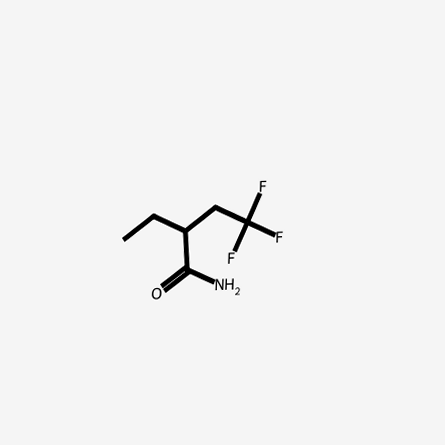 CCC(CC(F)(F)F)C(N)=O